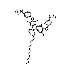 CCCCCCCCCCC1CCCC(c2cc(C)c(Oc3ccc(N)cc3)c(C)c2)(c2cc(C)c(Oc3ccc(N)cc3)c(C)c2)C1